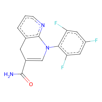 NC(=O)C1=CN(c2c(F)cc(F)cc2F)c2ncccc2C1